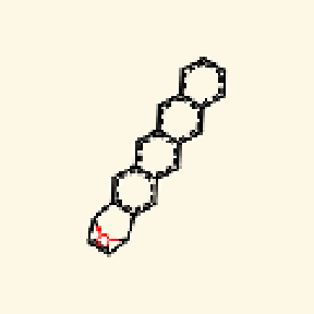 C1=CC2OC1c1cc3cc4cc5ccccc5cc4cc3cc12